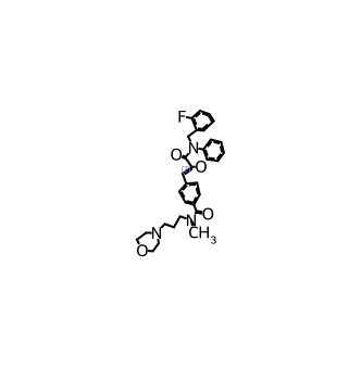 CN(CCCN1CCOCC1)C(=O)c1ccc(/C=C2\Oc3ccccc3N(Cc3ccccc3F)C2=O)cc1